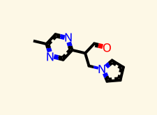 Cc1cnc(C(C=O)Cn2cccc2)cn1